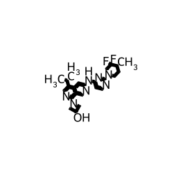 CC(C)c1cnc(N2CC(O)C2)c2cnc(Nc3ccnc(N4CC[C@H](C)C(F)(F)C4)n3)cc12